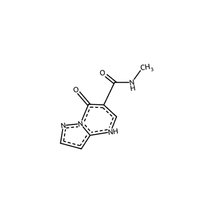 CNC(=O)c1c[nH]c2ccnn2c1=O